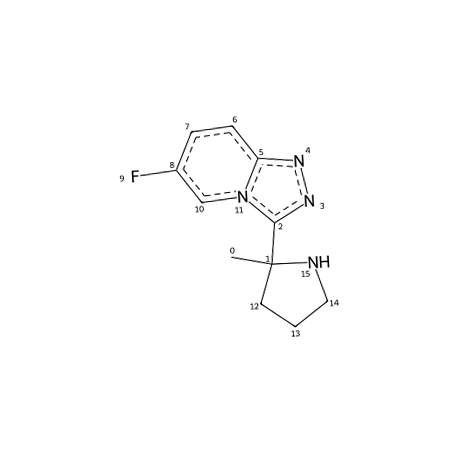 CC1(c2nnc3ccc(F)cn23)CCCN1